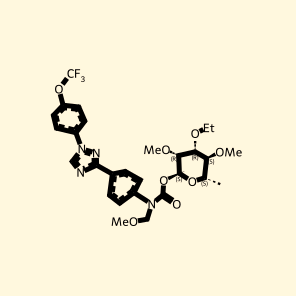 CCO[C@@H]1[C@@H](OC)[C@H](C)O[C@@H](OC(=O)N(COC)c2ccc(-c3ncn(-c4ccc(OC(F)(F)F)cc4)n3)cc2)[C@@H]1OC